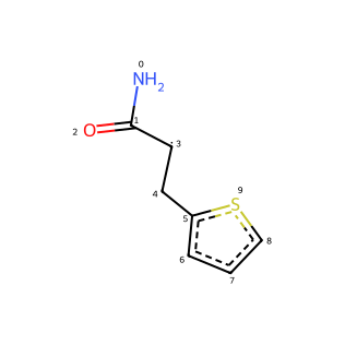 NC(=O)[CH]Cc1cccs1